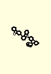 c1ccc2c(c1)-c1ccc(-n3c4ccccc4c4c(-c5ccc6c(c5)oc5ccccc56)cccc43)cc1C21C2CC3CC(C2)CC1C3